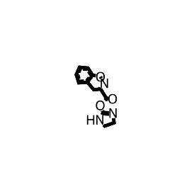 O=C(OC1=NCCN1)C1=NOc2ccccc2C1